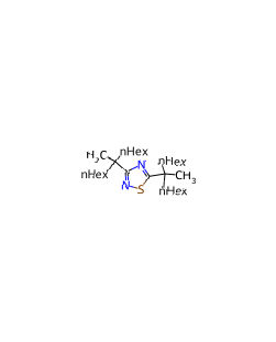 CCCCCCC(C)(CCCCCC)c1nsc(C(C)(CCCCCC)CCCCCC)n1